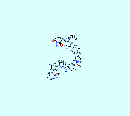 Cn1nc(C2CCC(=O)NC2=O)c2ccc(C3CCN(CC4CCN(C(=O)[C@H]5CC[C@H](Nc6ncc(F)c(-c7cccc(-c8ccc[nH]c8=O)c7)n6)CC5)CC4)CC3)cc21